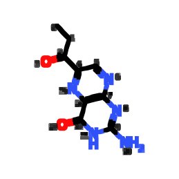 CCC(=O)c1cnc2nc(N)[nH]c(=O)c2n1